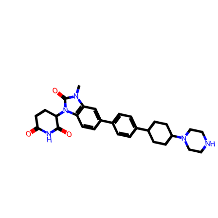 Cn1c(=O)n(C2CCC(=O)NC2=O)c2ccc(-c3ccc(C4CCC(N5CCNCC5)CC4)cc3)cc21